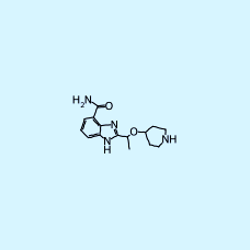 CC(OC1CCNCC1)c1nc2c(C(N)=O)cccc2[nH]1